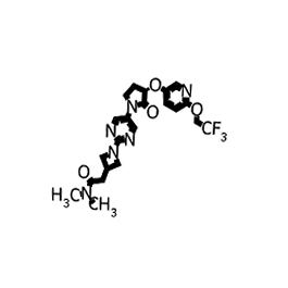 CN(C)C(=O)CC1CN(c2ncc(N3CC[C@@H](Oc4ccc(OCC(F)(F)F)nc4)C3=O)cn2)C1